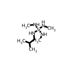 CN[Si](NC)(NC)NCC(C)C